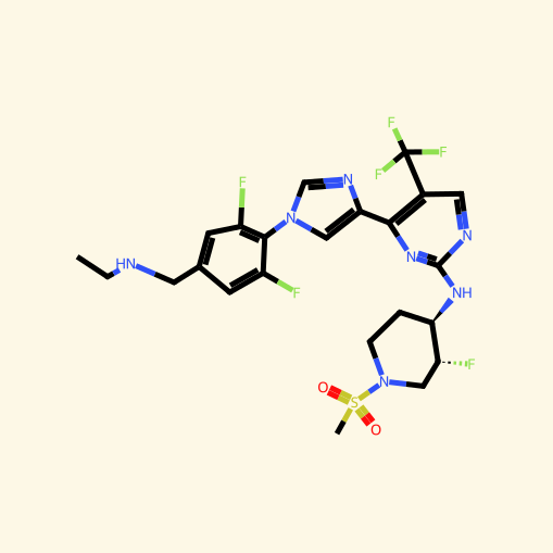 CCNCc1cc(F)c(-n2cnc(-c3nc(N[C@@H]4CCN(S(C)(=O)=O)C[C@H]4F)ncc3C(F)(F)F)c2)c(F)c1